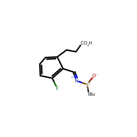 CC(C)(C)[S+]([O-])/N=C/c1c(F)cccc1CCC(=O)O